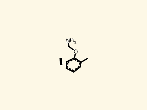 C=C.Cc1ccccc1OCN